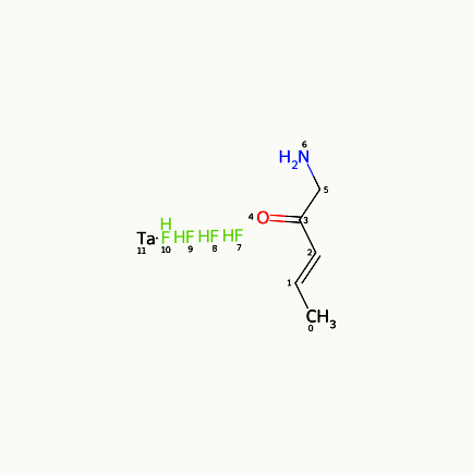 CC=CC(=O)CN.F.F.F.F.[Ta]